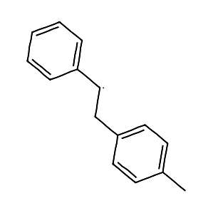 Cc1ccc(C[CH]c2ccccc2)cc1